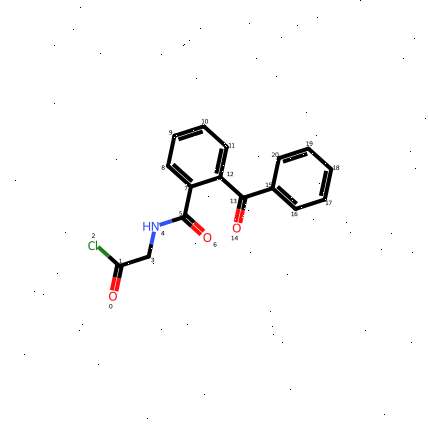 O=C(Cl)CNC(=O)c1ccccc1C(=O)c1ccccc1